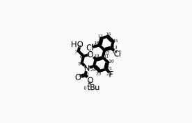 CC(C)(C)OC(=O)N1CC(CO)Oc2c(-c3c(Cl)cccc3Cl)cc(F)cc21